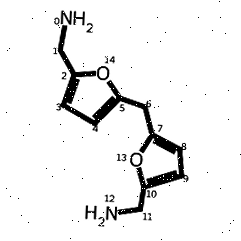 NCc1ccc(Cc2ccc(CN)o2)o1